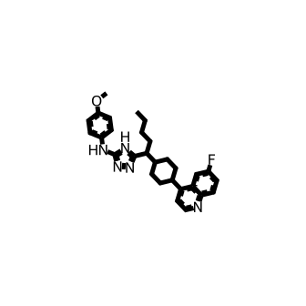 CCCCC(c1nnc(Nc2ccc(OC)cc2)[nH]1)C1CCC(c2ccnc3ccc(F)cc23)CC1